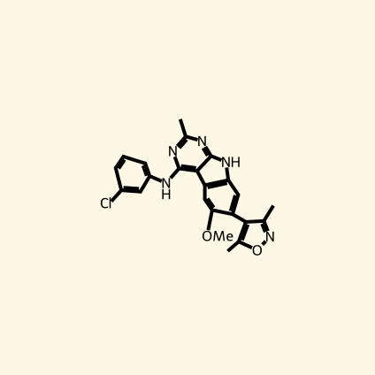 COc1cc2c(cc1-c1c(C)noc1C)[nH]c1nc(C)nc(Nc3cccc(Cl)c3)c12